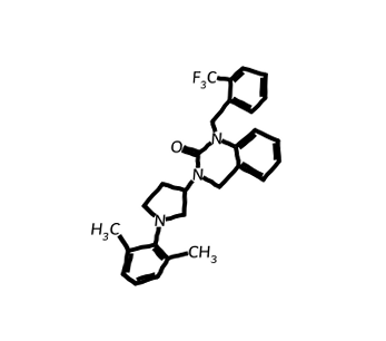 Cc1cccc(C)c1N1CCC(N2Cc3ccccc3N(Cc3ccccc3C(F)(F)F)C2=O)C1